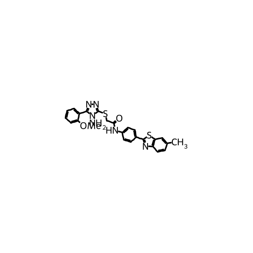 COc1ccccc1-c1nnc(SCC(=O)Nc2ccc(-c3nc4ccc(C)cc4s3)cc2)n1N